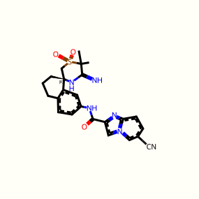 CC1(C)C(=N)N[C@@]2(CCCc3ccc(NC(=O)c4cn5cc(C#N)ccc5n4)cc32)CS1(=O)=O